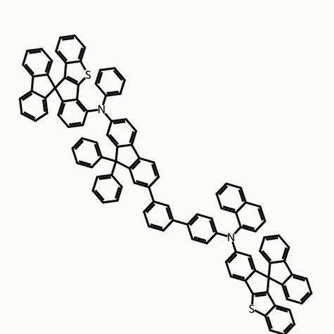 c1ccc(N(c2ccc3c(c2)C(c2ccccc2)(c2ccccc2)c2cc(-c4cccc(-c5ccc(N(c6ccc7c(c6)C6(c8ccccc8-c8ccccc86)c6c-7sc7ccccc67)c6cccc7ccccc67)cc5)c4)ccc2-3)c2cccc3c2-c2sc4ccccc4c2C32c3ccccc3-c3ccccc32)cc1